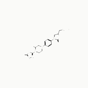 CCOC(=O)c1nnc(N2CCN(c3ccc(N4CC(CNC(C)=O)OC4=O)cc3)CC2F)s1